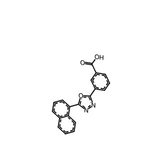 O=C(O)c1cccc(-c2nnc(-c3cccc4ccccc34)o2)c1